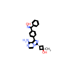 C[C@]1(O)C[C@H](c2nc(-c3ccc(C(=NO)c4ccccc4)cc3)c3c(N)nccn32)C1